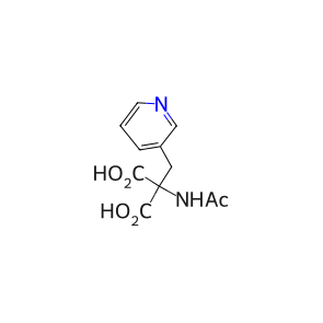 CC(=O)NC(Cc1cccnc1)(C(=O)O)C(=O)O